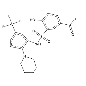 COC(=O)c1ccc(O)c(S(=O)(=O)Nc2cc(C(F)(F)F)ccc2N2CCCCC2)c1